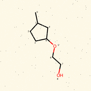 CC1CCC(OCCO)C1